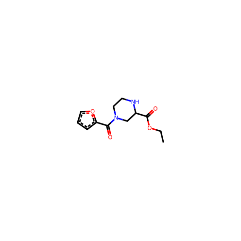 CCOC(=O)C1CN(C(=O)c2ccco2)CCN1